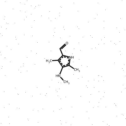 CNc1c(C)[nH]c(C=O)c1C